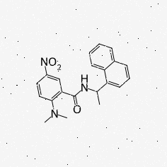 CC(NC(=O)c1cc([N+](=O)[O-])ccc1N(C)C)c1cccc2ccccc12